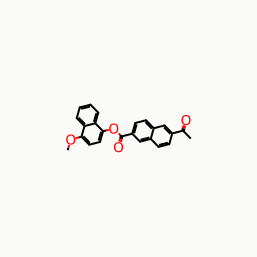 COc1ccc(OC(=O)c2ccc3cc(C(C)=O)ccc3c2)c2ccccc12